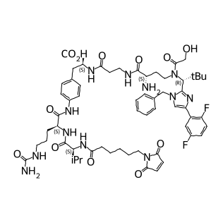 CC(C)[C@H](NC(=O)CCCCCN1C(=O)C=CC1=O)C(=O)N[C@@H](CCCNC(N)=O)C(=O)Nc1ccc(C[C@H](NC(=O)CCNC(=O)[C@@H](N)CCN(C(=O)CO)[C@@H](c2nc(-c3cc(F)ccc3F)cn2Cc2ccccc2)C(C)(C)C)C(=O)O)cc1